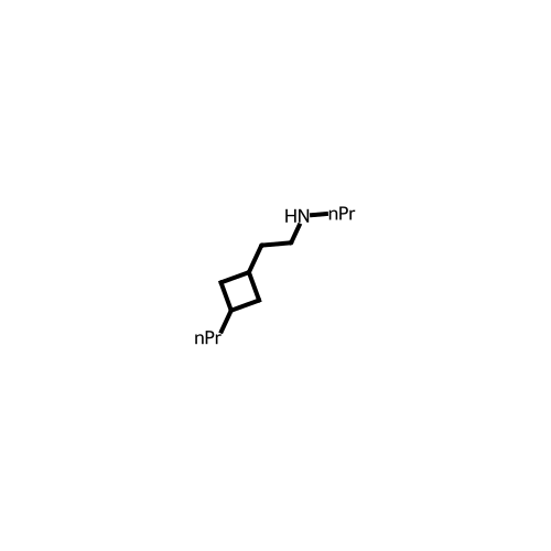 CCCNCCC1CC(CCC)C1